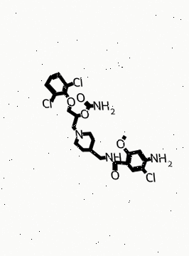 COc1cc(N)c(Cl)cc1C(=O)NCC1CCN(CC(COc2c(Cl)cccc2Cl)OC(N)=O)CC1